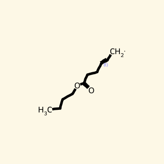 [CH2]/C=C/CCC(=O)OCCCC